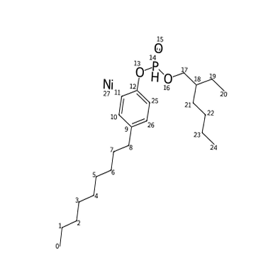 CCCCCCCCCc1ccc(O[PH](=O)OCC(CC)CCCC)cc1.[Ni]